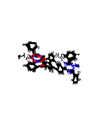 Cc1cccc(-c2cccc(-c3ccc(-c4nc(-c5ccccc5)nc(-c5ccccc5C)n4)cc3)c2-c2ccccc2-c2nc(-c3ccccc3)nc(-c3ccccc3C)n2)n1